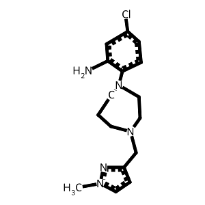 Cn1ccc(CN2CCCN(c3ccc(Cl)cc3N)CC2)n1